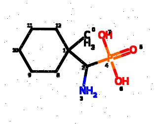 CC1(C(N)P(=O)(O)O)CCCCC1